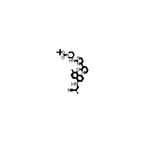 Cc1ccc2c(NC[C@@H](C)C#N)cccc2c1Oc1ncccc1-c1ccnc(N[C@H]2CCCN(C(=O)OC(C)(C)C)C2)n1